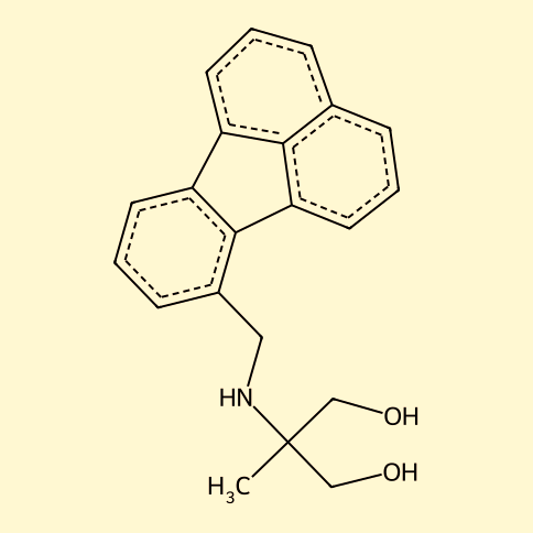 CC(CO)(CO)NCc1cccc2c1-c1cccc3cccc-2c13